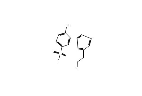 NCCc1ccccc1.Nc1ccc(S(N)(=O)=O)cc1